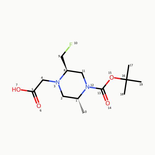 C[C@@H]1CN(CC(=O)O)[C@@H](CF)CN1C(=O)OC(C)(C)C